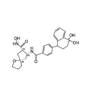 O=C(N[C@@H]1C[C@@]2(CCCO2)C[C@@H]1C(=O)NO)c1ccc(C2CCS(O)(O)c3ccccc32)cc1